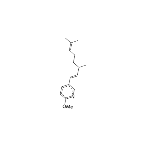 COc1ccc(C=CC(C)CCC=C(C)C)cn1